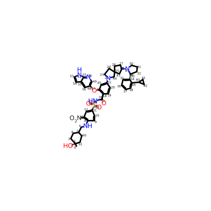 CC1(O)CCC(CNc2ccc(S(=O)(=O)NC(=O)c3ccc(N4CCC5(CC[C@@H](N6CCC[C@H]6c6ccccc6C6CC6)C5)C4)cc3Oc3cnc4[nH]ccc4c3)cc2[N+](=O)[O-])CC1